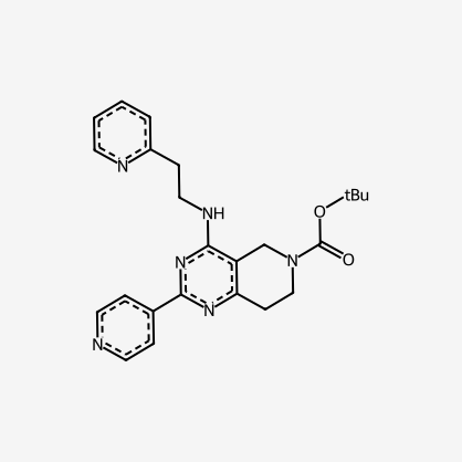 CC(C)(C)OC(=O)N1CCc2nc(-c3ccncc3)nc(NCCc3ccccn3)c2C1